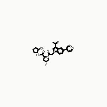 CC(=O)c1cn(CC(=O)N2C[C@H](F)CC2C(=O)N[C@@H]2CCCC2O)c2ccc(-c3ccnnc3)cc12